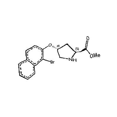 COC(=O)[C@@H]1C[C@@H](Oc2ccc3ccccc3c2Br)CN1